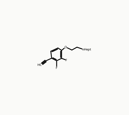 C#Cc1ccc(OCCCCCCCCC)c(F)c1F